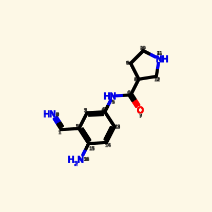 N=Cc1cc(NC(=O)C2CCNC2)ccc1N